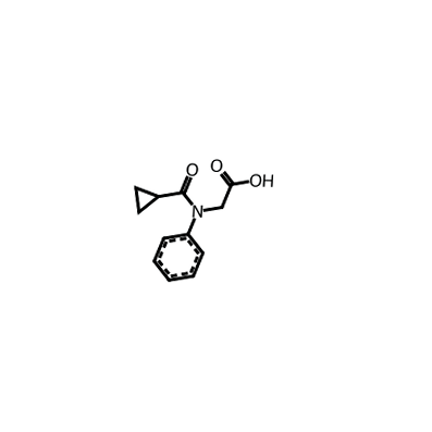 O=C(O)CN(C(=O)C1CC1)c1ccccc1